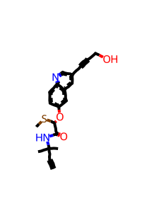 C#CC(C)(C)NC(=O)C(Oc1ccc2ncc(C#CCO)cc2c1)SC